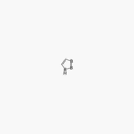 B1=BC=CB1